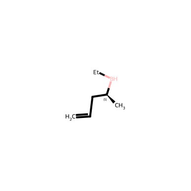 C=CC[C@H](C)BCC